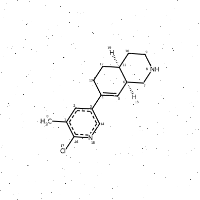 Cc1cc(C2=C[C@@H]3CNCC[C@@H]3CC2)cnc1Cl